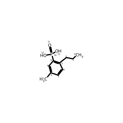 CCCc1ccc(C)cc1P(=O)(O)O